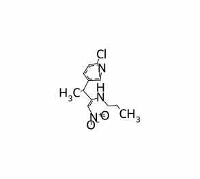 CCCN/C(=C\[N+](=O)[O-])C(C)c1ccc(Cl)nc1